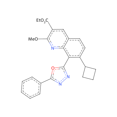 CCOC(=O)c1cc2ccc(C3CCC3)c(-c3nnc(-c4ccccc4)o3)c2nc1OC